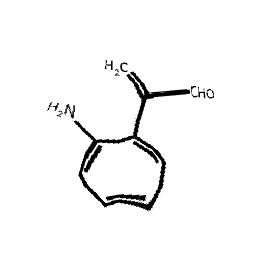 C=C(C=O)c1ccccc1N